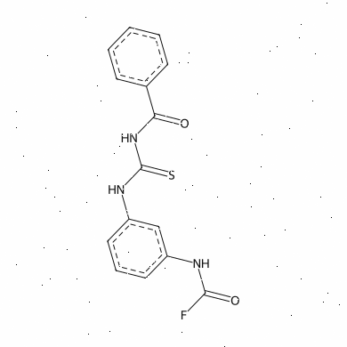 O=C(F)Nc1cccc(NC(=S)NC(=O)c2ccccc2)c1